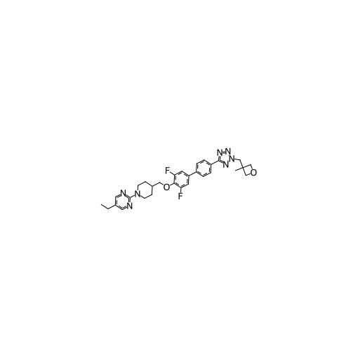 CCc1cnc(N2CCC(COc3c(F)cc(-c4ccc(-c5nnn(CC6(C)COC6)n5)cc4)cc3F)CC2)nc1